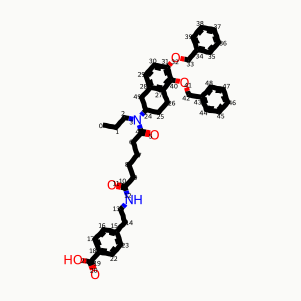 CCCN(C(=O)CCCCC(=O)NCCc1ccc(C(=O)O)cc1)C1CCc2c(ccc(OCc3ccccc3)c2OCc2ccccc2)C1